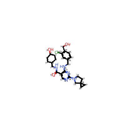 O=C(NCC1CCC(O)CC1)c1cnc(N2CCC3(CC3)C2)nc1NCc1ccc(CO)c(Cl)c1